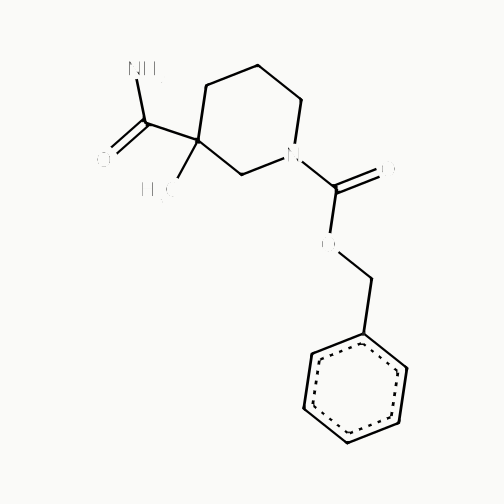 CC1(C(N)=O)CCCN(C(=O)OCc2ccccc2)C1